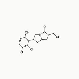 O=C1C(CO)CC2C[C@H](c3c(O)ccc(Cl)c3Cl)CN12